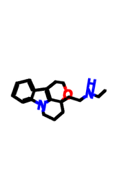 CCNCCC12CCCn3c1c(c1ccccc13)CCO2